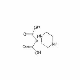 C1CNCCN1.O=C(O)SC(=O)O